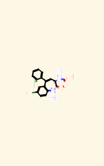 O=C(O)NC1C=C(c2ccccc2F)c2cc(Cl)ccc2NC1=O